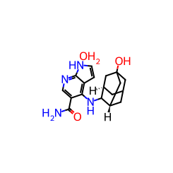 NC(=O)c1cnc2[nH]ccc2c1NC1[C@@H]2CC3C[C@H]1CC(O)(C3)C2.O